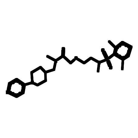 Cc1cccc(C)c1S(=O)(=O)N(C)CCOCC(=O)N(C)CC1CCN(c2ccncc2)CC1